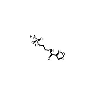 NS(=O)(=O)NCCNC(=O)c1cnon1